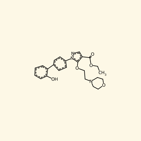 CCOC(=O)c1cnn(-c2ccc(-c3ccccc3O)cc2)c1OCCN1CCOCC1